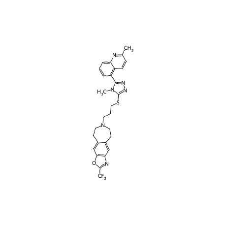 Cc1ccc2c(-c3nnc(SCCCN4CCc5cc6nc(C(F)(F)F)oc6cc5CC4)n3C)cccc2n1